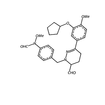 COc1ccc(C2=NN(Cc3ccc(N(C=O)OC)cc3)C(C=O)CC2)cc1OC1CCCC1